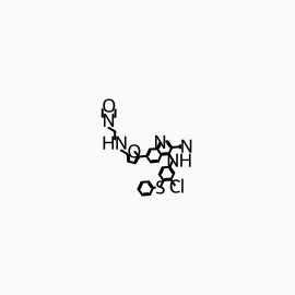 N#Cc1cnc2cc(-c3ccc(CNCCCN4CCOCC4)o3)ccc2c1Nc1ccc(Sc2ccccc2)c(Cl)c1